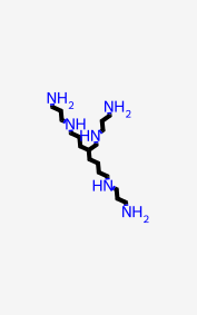 NCCCNCCCCC(CCCNCCCN)CNCCCN